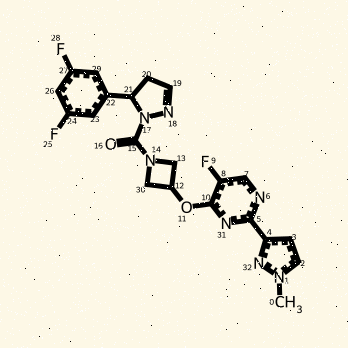 Cn1ccc(-c2ncc(F)c(OC3CN(C(=O)N4N=CCC4c4cc(F)cc(F)c4)C3)n2)n1